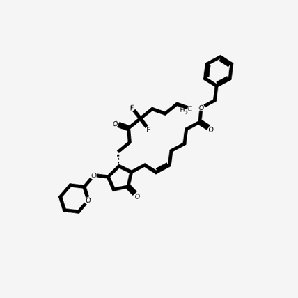 CCCCC(F)(F)C(=O)CC[C@H]1C(OC2CCCCO2)CC(=O)C1C/C=C\CCCC(=O)OCc1ccccc1